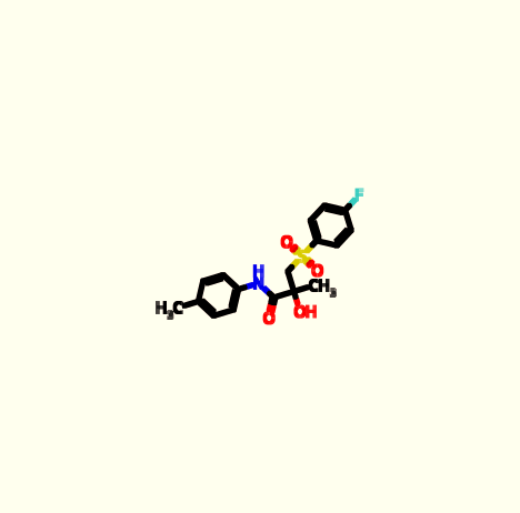 Cc1ccc(NC(=O)C(C)(O)CS(=O)(=O)c2ccc(F)cc2)cc1